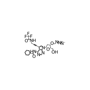 [N-]=[N+]=NCOC1C[C@H](n2cc(C#CCNC(=O)C(F)(F)F)c3c(NC(=O)c4ccccc4)ncnc32)O[C@@H]1CO